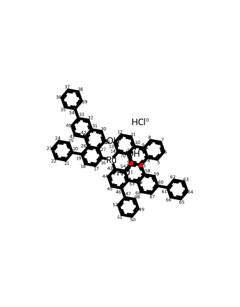 Cl.Oc1cc2ccccc2c2ccc[c]([Ru]([c]3ccc(-c4ccccc4)c4c3c(O)cc3cc(-c5ccccc5)ccc34)[c]3ccc(-c4ccccc4)c4c3c(O)cc3cc(-c5ccccc5)ccc34)c12